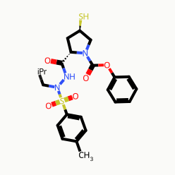 Cc1ccc(S(=O)(=O)N(CC(C)C)NC(=O)[C@@H]2C[C@@H](S)CN2C(=O)Oc2ccccc2)cc1